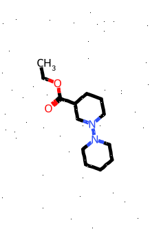 CCOC(=O)C1CCCN(N2CCCCC2)C1